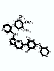 CO[C@@H]1[C@H](N)C[C@H](c2ccncc2Nc2ncc3ccc(-c4c(F)cc(OC5CCOCC5)cc4F)nn23)C[C@@H]1C